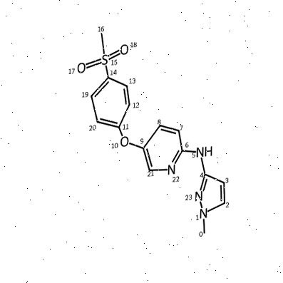 Cn1ccc(Nc2ccc(Oc3ccc(S(C)(=O)=O)cc3)cn2)n1